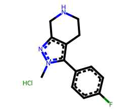 Cl.Cn1nc2c(c1-c1ccc(F)cc1)CCNC2